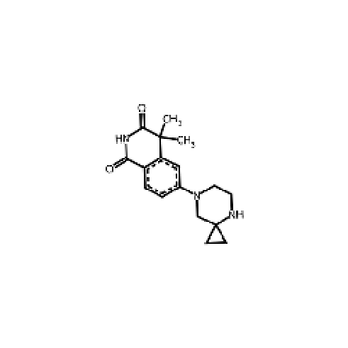 CC1(C)C(=O)NC(=O)c2ccc(N3CCNC4(CC4)C3)cc21